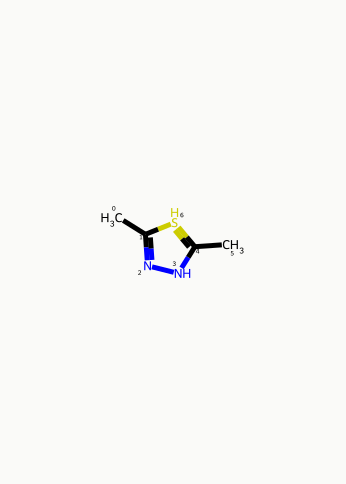 CC1=NNC(C)=[SH]1